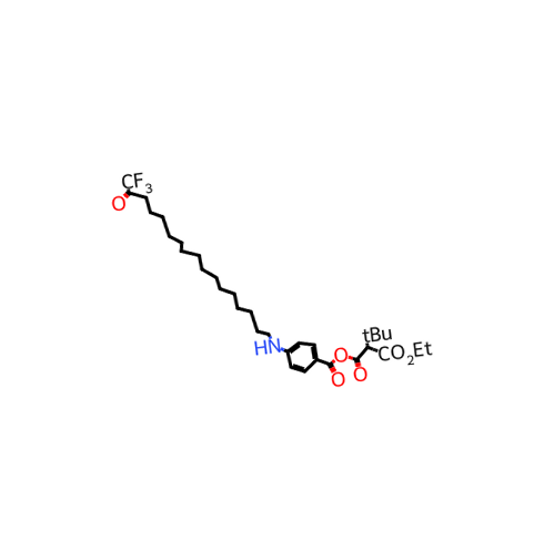 CCOC(=O)C(C(=O)OC(=O)c1ccc(NCCCCCCCCCCCCCCCC(=O)C(F)(F)F)cc1)C(C)(C)C